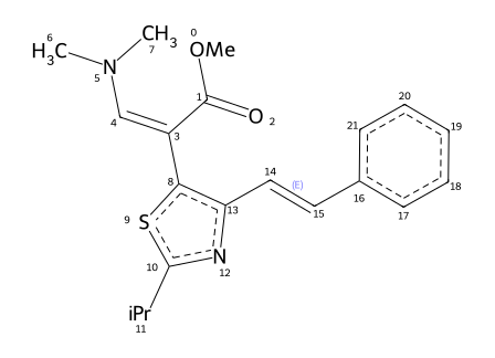 COC(=O)C(=CN(C)C)c1sc(C(C)C)nc1/C=C/c1ccccc1